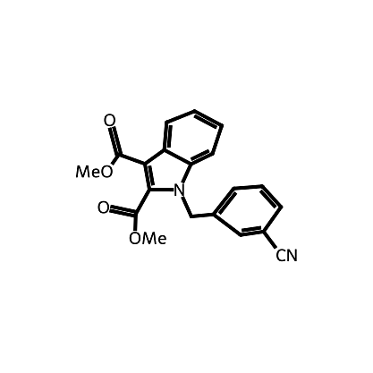 COC(=O)c1c(C(=O)OC)n(Cc2cccc(C#N)c2)c2ccccc12